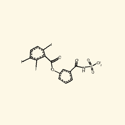 O=C(NS(=O)(=O)C(F)(F)F)c1cccc(OC(=O)c2c(I)ccc(I)c2I)c1